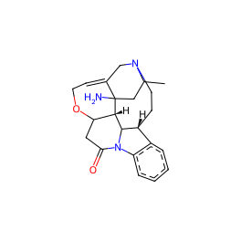 CC1CC2(N)C3=CCOC4CC(=O)N5c6ccccc6[C@@H](CCN1C3)C5[C@H]42